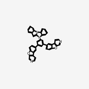 c1ccc2c(c1)cc1n(-c3cc(-c4ccc5oc6cnccc6c5c4)cc(-c4ccc5oc6cnccc6c5c4)c3)c3ccccc3n21